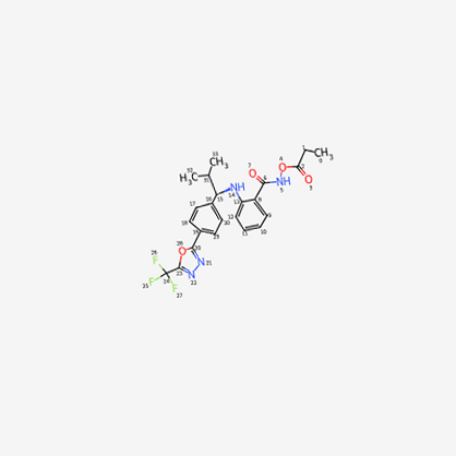 CCC(=O)ONC(=O)c1ccccc1N[C@@H](c1ccc(-c2nnc(C(F)(F)F)o2)cc1)C(C)C